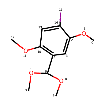 COc1cc(C(OC)OC)c(OC)cc1I